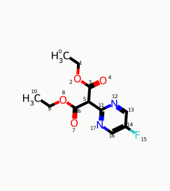 CCOC(=O)C(C(=O)OCC)c1ncc(F)cn1